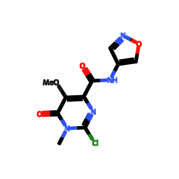 COc1c(C(=O)Nc2cnoc2)nc(Cl)n(C)c1=O